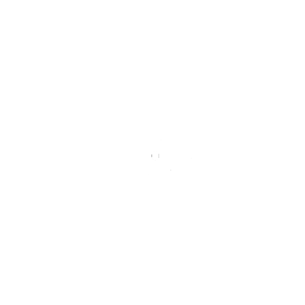 CCc1c(CC)c2ccc1o2